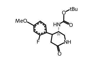 COc1ccc(C2CC(=O)NC[C@H]2NC(=O)OC(C)(C)C)c(F)c1